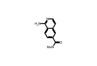 CNC(=O)c1ccc2c(N)nccc2c1